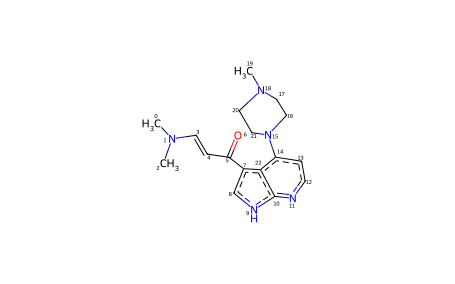 CN(C)/C=C/C(=O)c1c[nH]c2nccc(N3CCN(C)CC3)c12